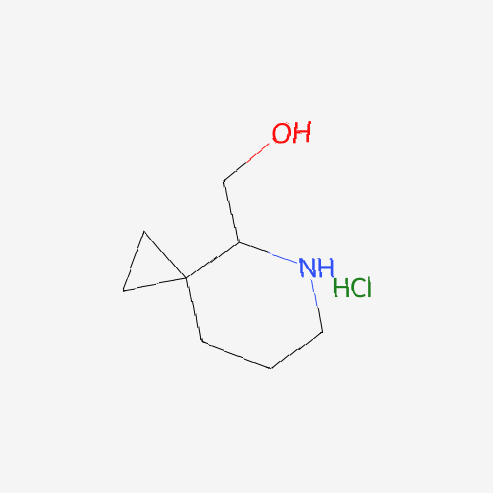 Cl.OCC1NCCCC12CC2